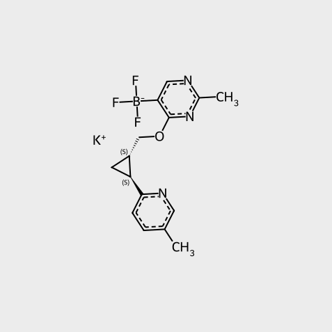 Cc1ccc([C@H]2C[C@@H]2COc2nc(C)ncc2[B-](F)(F)F)nc1.[K+]